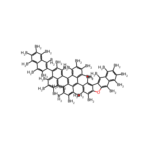 Bc1c(-c2c3c(B)c(B)c(B)c(B)c3c(-c3c(B)c(B)c(-c4c(B)c(B)c5c(B)c(B)c(B)c(B)c5c4B)c4c(B)c(B)c(B)c(B)c34)c3c(B)c(B)c(B)c(B)c23)c(B)c2c(oc3c(B)c4c(B)c(B)c(B)c(B)c4c(B)c32)c1B